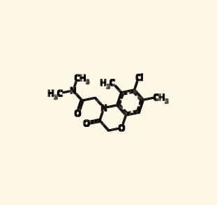 Cc1cc2c(c(C)c1Cl)N(CC(=O)N(C)C)C(=O)CO2